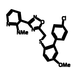 CNc1ncccc1-c1noc(CSc2ccc(OC)cc2-c2ccc(Cl)cc2)n1